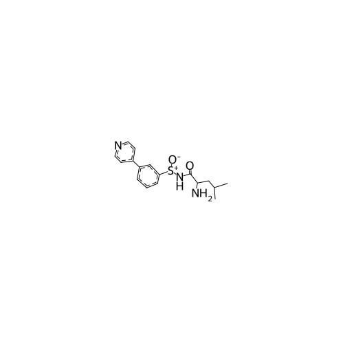 CC(C)CC(N)C(=O)N[S+]([O-])c1cccc(-c2ccncc2)c1